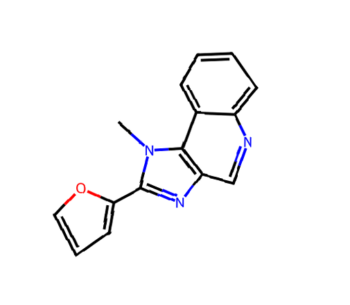 Cn1c(-c2ccco2)nc2cnc3ccccc3c21